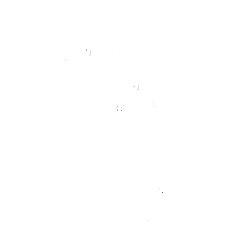 c1cc(-c2ccc3sc4nc(-c5cccc(-n6c7ccccc7c7ccc8ccccc8c76)c5)cnc4c3c2)cc(-n2c3ccccc3c3ccc4ccccc4c32)c1